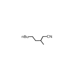 CCCCCCC(C)CC#N